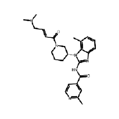 Cc1cc(C(=O)Nc2nc3cccc(C)c3n2[C@@H]2CCCN(C(=O)/C=C/CN(C)C)C2)ccn1